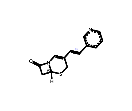 O=C1C[C@H]2SCC(/C=C/c3cccnc3)=CN12